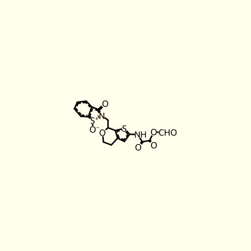 O=COC(=O)C(=O)Nc1cc2c(s1)C(Cn1c(=O)c3ccccc3[s+]1[O-])OCC2